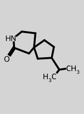 CC(C)C1CCC2(CCNC(=O)C2)C1